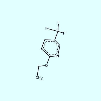 [CH2]COc1ccc(C(F)(F)F)cn1